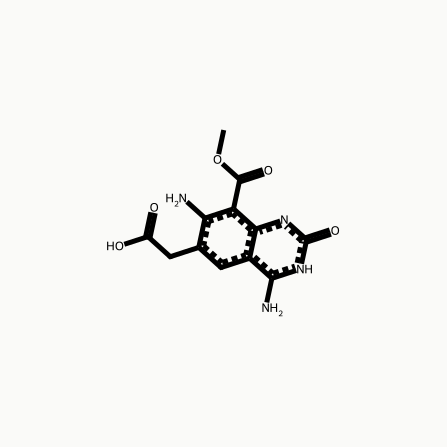 COC(=O)c1c(N)c(CC(=O)O)cc2c(N)[nH]c(=O)nc12